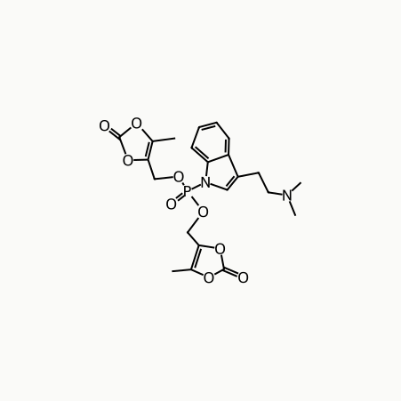 Cc1oc(=O)oc1COP(=O)(OCc1oc(=O)oc1C)n1cc(CCN(C)C)c2ccccc21